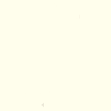 Cc1cc(OCCCS(=O)(=O)O)ccc1O